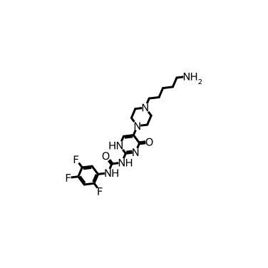 NCCCCCN1CCN(c2c[nH]c(NC(=O)Nc3cc(F)c(F)cc3F)nc2=O)CC1